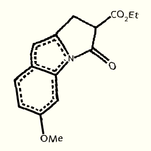 CCOC(=O)C1Cc2cc3ccc(OC)cc3n2C1=O